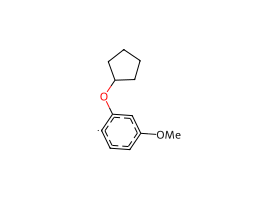 COc1cc[c]c(OC2CCCC2)c1